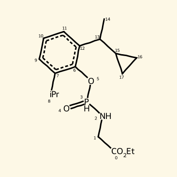 CCOC(=O)CN[PH](=O)Oc1c(C(C)C)cccc1C(C)C1CC1